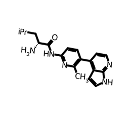 Cc1nc(NC(=O)[C@H](N)CC(C)C)ccc1-c1ccnc2[nH]ccc12